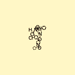 NC(=O)C1(Nc2ccccc2)CCN(CCOC2(c3ccc(Cl)c(Cl)c3)CCN(C(=O)C3CCCC3)CC2)CC1